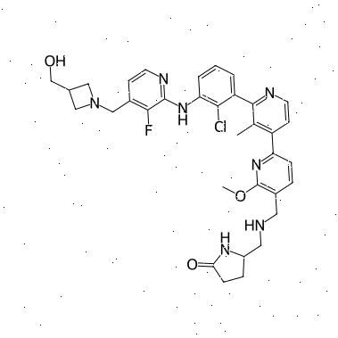 COc1nc(-c2ccnc(-c3cccc(Nc4nccc(CN5CC(CO)C5)c4F)c3Cl)c2C)ccc1CNCC1CCC(=O)N1